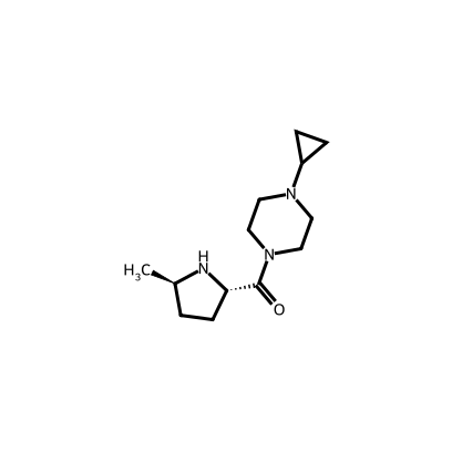 C[C@@H]1CC[C@@H](C(=O)N2CCN(C3CC3)CC2)N1